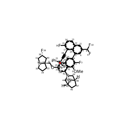 COc1c(F)c(-c2cc(C(F)F)cc3ccc(F)c(C#C[Si](C(C)C)(C(C)C)C(C)C)c23)c(F)c2nc(OC[C@@]34CCCN3C[C@H](F)C4)nc(N3C[C@H]4CC[C@@H](C3)N4)c12